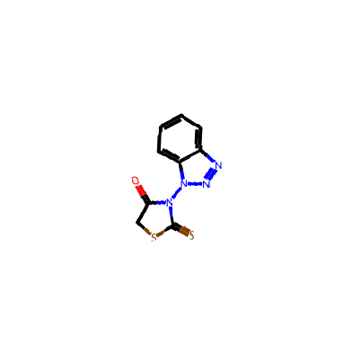 O=C1CSC(=S)N1n1nnc2ccccc21